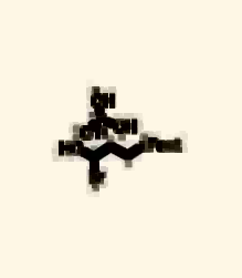 CCCCCCCC(O)Br.O=[PH](O)O